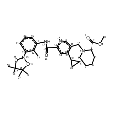 COC(=O)[C@@H]1CCCCN1Cc1cnc(C(=O)Nc2cccc(B3OC(C)(C)C(C)(C)O3)c2C)cc1C1CC1